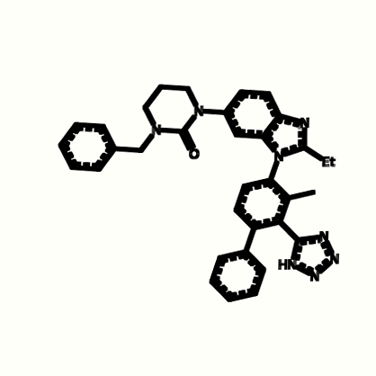 CCc1nc2ccc(N3CCCN(Cc4ccccc4)C3=O)cc2n1-c1ccc(-c2ccccc2)c(-c2nnn[nH]2)c1C